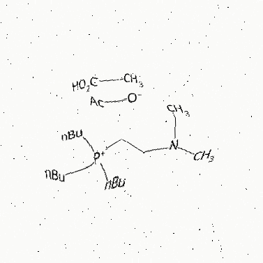 CC(=O)O.CC(=O)[O-].CCCC[P+](CCCC)(CCCC)CCN(C)C